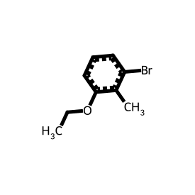 CCOc1cccc(Br)c1C